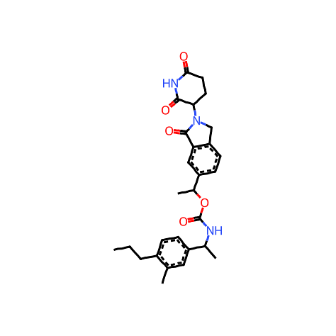 CCCc1ccc(C(C)NC(=O)OC(C)c2ccc3c(c2)C(=O)N(C2CCC(=O)NC2=O)C3)cc1C